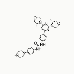 C[C@@H]1COCCN1c1nc(-c2ccc(NC(=O)Nc3ccc(N4CCN(C)CC4)cc3)cc2)nc(N2CCOC[C@H]2C)n1